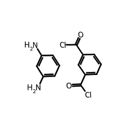 Nc1cccc(N)c1.O=C(Cl)c1cccc(C(=O)Cl)c1